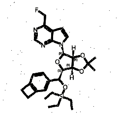 CC[Si](CC)(CC)OC(c1ccc2c(c1)CC2)[C@H]1O[C@@H](n2ccc3c(CF)ncnc32)[C@@H]2OC(C)(C)O[C@@H]21